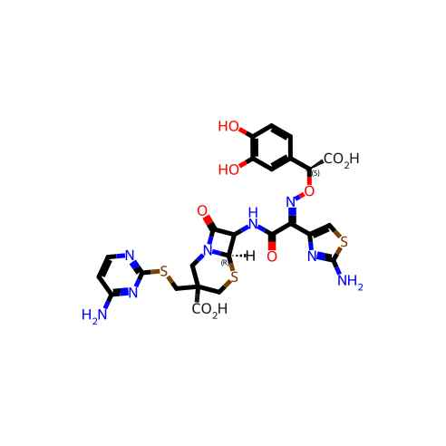 Nc1ccnc(SCC2(C(=O)O)CS[C@@H]3C(NC(=O)C(=NO[C@H](C(=O)O)c4ccc(O)c(O)c4)c4csc(N)n4)C(=O)N3C2)n1